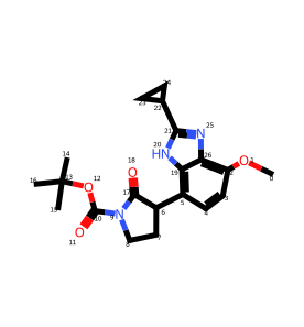 COc1ccc(C2CCN(C(=O)OC(C)(C)C)C2=O)c2[nH]c(C3CC3)nc12